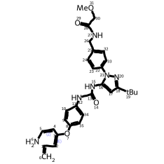 C=C/C=C(\C=C/N)Oc1ccc(NC(=O)Nc2cc(C(C)(C)C)nn2-c2ccc(CNC(=O)COC)cc2)cc1